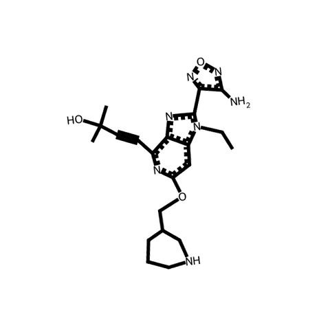 CCn1c(-c2nonc2N)nc2c(C#CC(C)(C)O)nc(OCC3CCCNC3)cc21